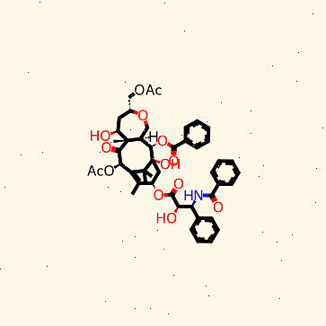 CC(=O)OC[C@H]1C[C@H](O)[C@@]2(C)C(=O)[C@H](OC(C)=O)C3=C(C)[C@@H](OC(=O)[C@H](O)[C@@H](NC(=O)c4ccccc4)c4ccccc4)C[C@@](O)([C@@H](OC(=O)c4ccccc4)[C@@H]2CO1)C3(C)C